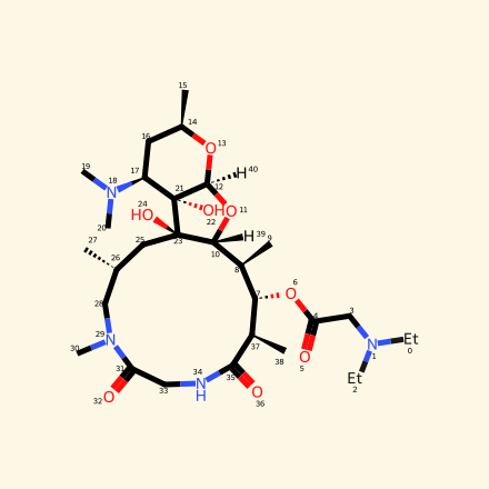 CCN(CC)CC(=O)O[C@H]1[C@H](C)[C@H]2O[C@@H]3O[C@H](C)C[C@H](N(C)C)[C@]3(O)[C@@]2(O)C[C@@H](C)CN(C)C(=O)CNC(=O)[C@@H]1C